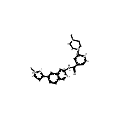 CN1CCN(c2cc(C(=O)Nc3cc4cc(-c5ccn(C)n5)ccc4cn3)ccn2)CC1